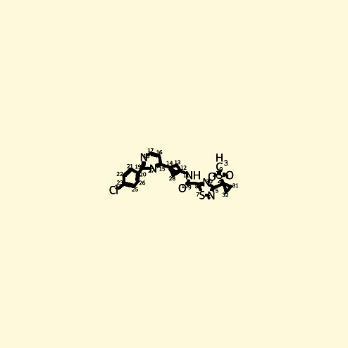 CS(=O)(=O)C1(c2nsc(C(=O)NC34CC(c5ccnc(-c6ccc(Cl)cc6)n5)(C3)C4)n2)CC1